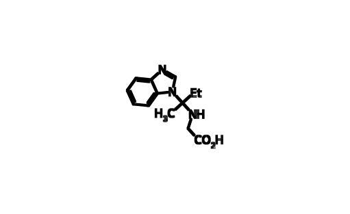 CCC(C)(NCC(=O)O)n1cnc2ccccc21